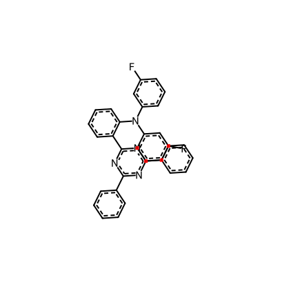 Fc1cccc(N(c2cccc(F)c2)c2ccccc2-c2nc(-c3ccccc3)nc(-c3ccccc3)n2)c1